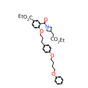 CCOC(=O)CC1CN(C(=O)c2cc(C(=O)OCC)ccc2OCCCc2ccc(OCCCCOc3ccccc3)cc2)C1